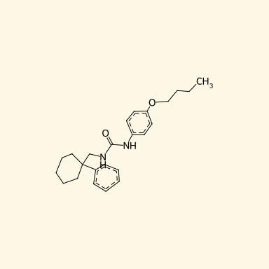 CCCCOc1ccc(NC(=O)NCC2(c3ccccc3)CCCCC2)cc1